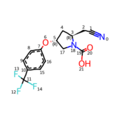 N#CC[C@@H]1C[C@@H](Oc2ccc(C(F)(F)F)cc2)CN1C(=O)O